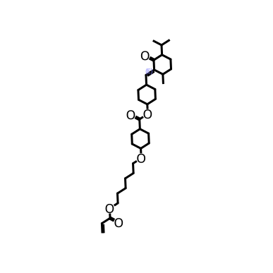 C=CC(=O)OCCCCCCOC1CCC(C(=O)OC2CCC(/C=C3/C(=O)C(C(C)C)CCC3C)CC2)CC1